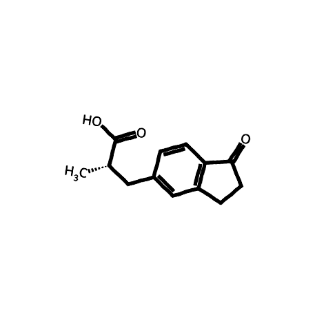 C[C@@H](Cc1ccc2c(c1)CCC2=O)C(=O)O